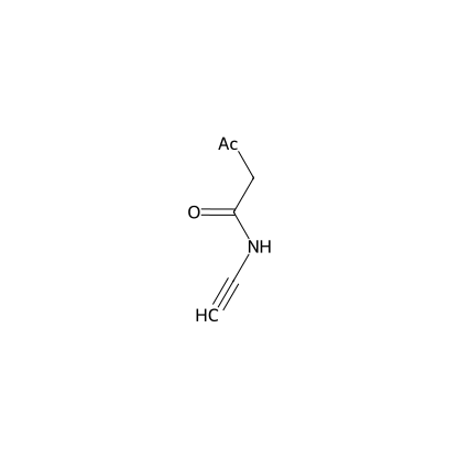 C#CNC(=O)CC(C)=O